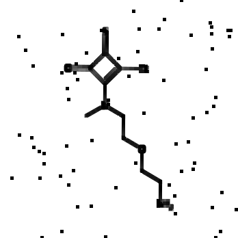 CCc1c(N(C)CCOCCN)c(=O)c1=S